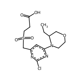 CCC1COCCN1c1cc(CS(=O)(=O)CCC(=O)O)nc(Cl)n1